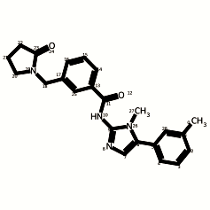 Cc1cccc(-c2cnc(NC(=O)c3cccc(CN4CCCC4=O)c3)n2C)c1